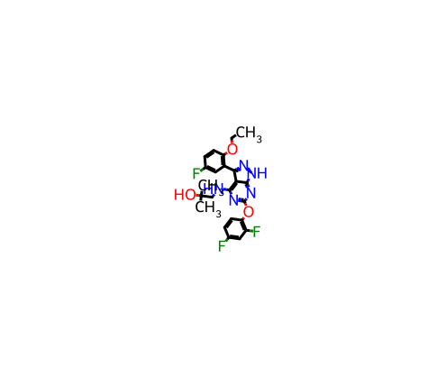 CCOc1ccc(F)cc1-c1n[nH]c2nc(Oc3ccc(F)cc3F)nc(NCC(C)(C)O)c12